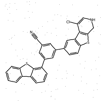 N#Cc1cc(-c2ccc3sc4c(c3c2)C(Cl)=CNC4)cc(-c2cccc3c2sc2ccccc23)c1